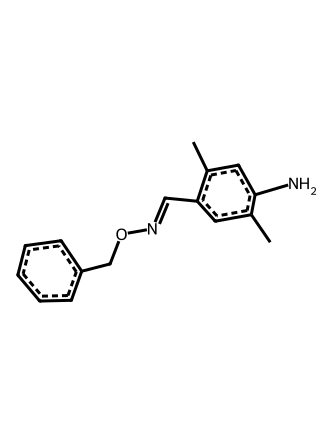 Cc1cc(/C=N/OCc2ccccc2)c(C)cc1N